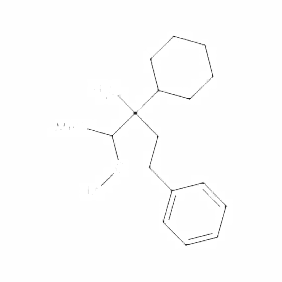 CCOC(OC)C(C)(CCc1ccccc1)C1CCCCC1